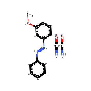 COc1cccc(N=Nc2ccccc2)c1.N=C=O.N=C=O